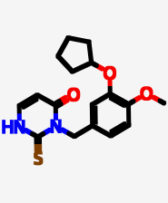 COc1ccc(Cn2c(=O)cc[nH]c2=S)cc1OC1CCCC1